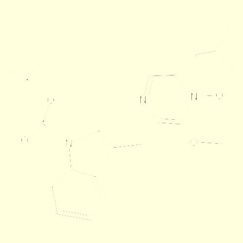 COc1c(Cc2cn(C(=O)OC(C)(C)C)c3ccccc23)nc(C)c(CC(C)C)[n+]1[O-]